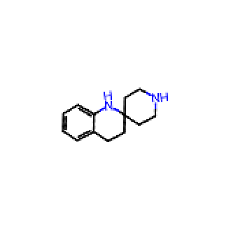 c1ccc2c(c1)CCC1(CCNCC1)N2